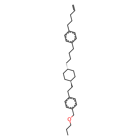 C=CCCCc1ccc(CCCC[C@H]2CC[C@H](CCc3ccc(COCCC)cc3)CC2)cc1